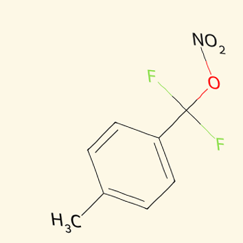 Cc1ccc(C(F)(F)O[N+](=O)[O-])cc1